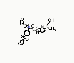 CN(CCO)c1ccc2nc(NC(=O)/C(=N/O[C@@H]3CCOC3)c3ccc(S(=O)(=O)[C@H]4CCOC4)cc3)sc2n1